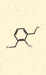 [CH2]c1c(CC(C)C)cccc1CC(C)C